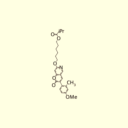 COc1ccc(-c2cc3cnc(OCCCCCCOC(=O)C(C)C)cc3oc2=O)c(C)c1